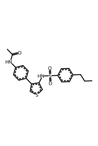 CCCc1ccc(S(=O)(=O)Nc2cscc2-c2ccc(NC(C)=O)cc2)cc1